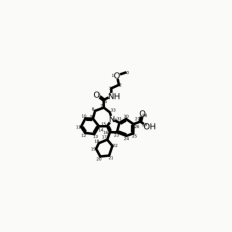 COCCNC(=O)C1Cc2ccccc2-c2c(C3CCCCC3)c3ccc(C(=O)O)cc3n2C1